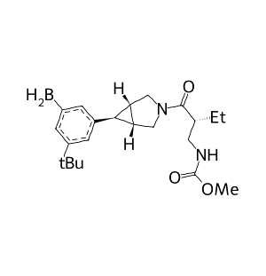 Bc1cc([C@H]2[C@@H]3CN(C(=O)[C@H](CC)CNC(=O)OC)C[C@@H]32)cc(C(C)(C)C)c1